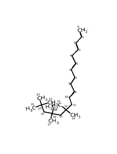 [CH2]CCCCCCCCCCCC(C)(C)CC(C)(C)CC(C)(C)C